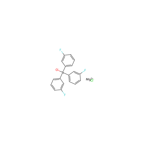 [Cl-].[Mg+2].[O-][Si](c1cccc(F)c1)(c1cccc(F)c1)c1cccc(F)c1